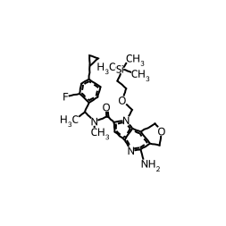 CC(c1ccc(C2CC2)cc1F)N(C)C(=O)c1cc2nc(N)c3c(c2n1COCC[Si](C)(C)C)COC3